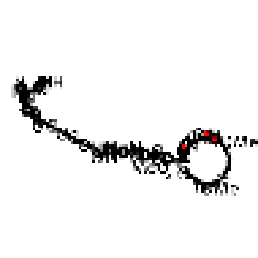 CO[C@H]1C[C@@H]2CC[C@@H](C)[C@@](O)(O2)C(=O)C(=O)N2CCCC[C@H]2C(=O)O[C@H]([C@H](N)C[C@@H]2CC[C@@H](OC(=O)N3CCc4nc(N5CCN(c6ncc(C(=O)NCCOCCOCCOCCOCCC(=O)N7CCc8cc(Cn9nc(-c%10cnc%11[nH]ccc%11c%10)c%10cncnc%109)ccc8C7)cn6)CC5)ncc4C3)[C@H](OC)C2)CC(=O)[C@H](C)/C=C(\C)[C@@H](O)[C@@H](OC)C(=O)[C@H](C)C[C@H](C)/C=C/C=C/C=C/1C